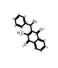 CCC(C1=C(C)C(=O)c2ccccc2C1=O)c1ccccc1